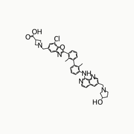 Cc1c(Nc2nccc3cc(CN4CCC(O)C4)cnc23)cccc1-c1cccc(-c2nc3cc(CN4CC(C(=O)O)C4)cc(Cl)c3o2)c1C